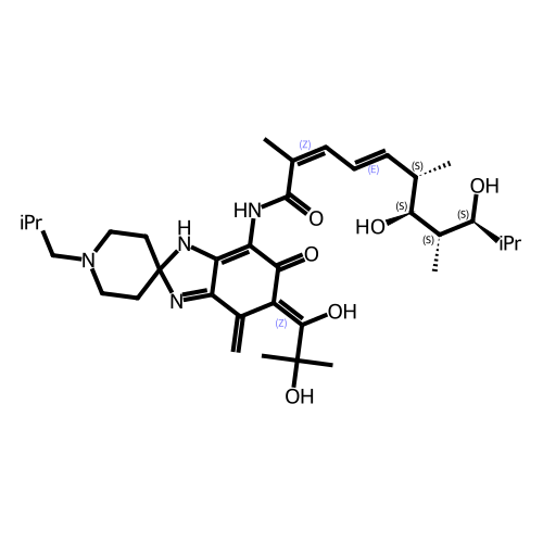 C=C1C2=NC3(CCN(CC(C)C)CC3)NC2=C(NC(=O)/C(C)=C\C=C\[C@H](C)[C@H](O)[C@@H](C)[C@@H](O)C(C)C)C(=O)/C1=C(\O)C(C)(C)O